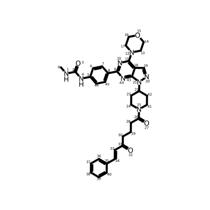 CNC(=O)Nc1ccc(-c2nc(N3CCOCC3)c3cnn(C4CCN(C(=O)CCCC(=O)C=Cc5ccccc5)CC4)c3n2)cc1